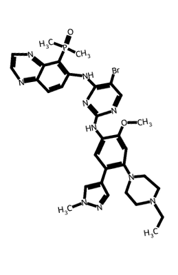 CCN1CCN(c2cc(OC)c(Nc3ncc(Br)c(Nc4ccc5nccnc5c4P(C)(C)=O)n3)cc2-c2cnn(C)c2)CC1